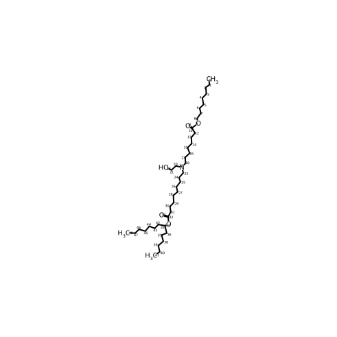 CCCCCCCCCOC(=O)CCCCCCCN(CCO)CCCCCCCCCC(=O)OC(CCCCCC)CCCCCCC